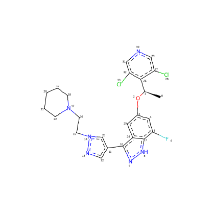 C[C@@H](Oc1cc(F)c2[nH]nc(-c3cnn(CCN4CCCCC4)c3)c2c1)c1c(Cl)cncc1Cl